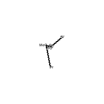 COC(COCCCCCCCCCCCCCCC(C)C)COP(=O)([O-])OCCCCCCCCCC[N+](C)(C)C